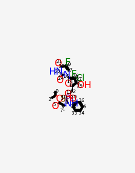 CC(C)OC(=O)[C@@H](C)N[P@@](=S)(OC[C@H]1O[C@@H](n2cc(F)c(=O)[nH]c2=O)[C@](F)(Cl)[C@@H]1O)Oc1ccccc1